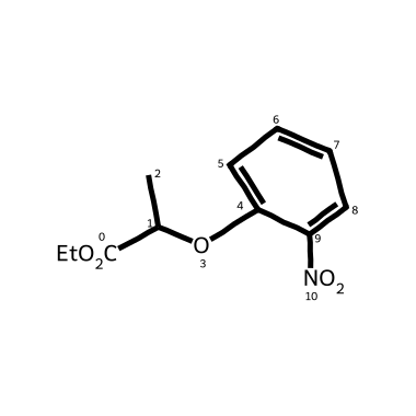 CCOC(=O)C(C)Oc1ccccc1[N+](=O)[O-]